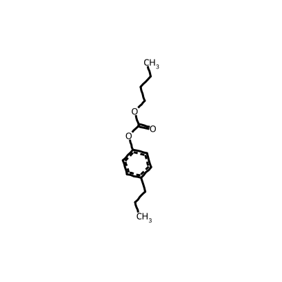 CCCCOC(=O)Oc1ccc(CCC)cc1